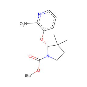 CC(C)(C)OC(=O)N1CCC(C)(C)[C@H]1Oc1cccnc1[N+](=O)[O-]